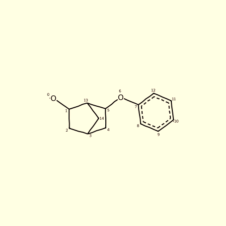 [O]C1CC2CC(Oc3cc[c]cc3)C1C2